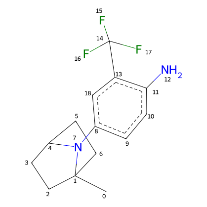 CC12CCC(CC1)N2c1ccc(N)c(C(F)(F)F)c1